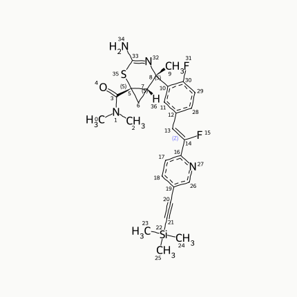 CN(C)C(=O)[C@]12C[C@H]1[C@@](C)(c1cc(/C=C(\F)c3ccc(C#C[Si](C)(C)C)cn3)ccc1F)N=C(N)S2